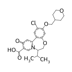 CC(C)C1COc2cc(OCC3CCOCC3)c(Cl)cc2-c2cc(=O)c(C(=O)O)cn21